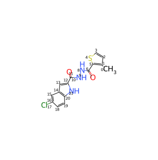 Cc1ccsc1C(=O)NNC(=O)c1cc2cc(Cl)ccc2[nH]1